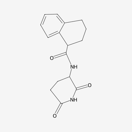 O=C1CCC(NC(=O)C2CCCc3ccccc32)C(=O)N1